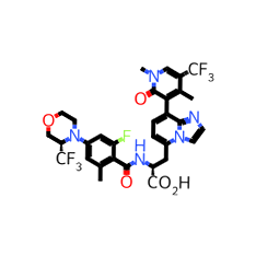 Cc1cc(N2CCOC[C@@H]2C(F)(F)F)cc(F)c1C(=O)N[C@@H](Cc1ccc(-c2c(C)c(C(F)(F)F)cn(C)c2=O)c2nccn12)C(=O)O